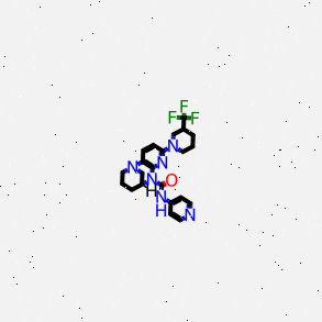 O=C(Nc1ccncc1)N1c2nc(N3CCCC(C(F)(F)F)C3)ccc2N2CCC[C@H]1C2